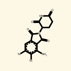 [2H]c1cc2c(c(N)c1[2H])C(=O)N(C1CCC(=O)NC1=O)C2=O